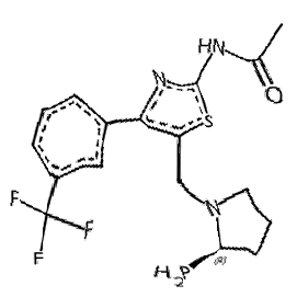 CC(=O)Nc1nc(-c2cccc(C(F)(F)F)c2)c(CN2CCC[C@H]2P)s1